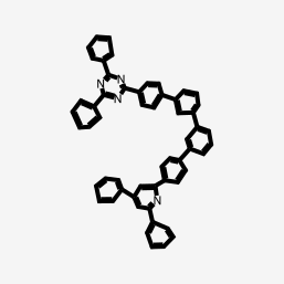 c1ccc(-c2cc(-c3ccccc3)nc(-c3ccc(-c4cccc(-c5cccc(-c6ccc(-c7nc(-c8ccccc8)nc(-c8ccccc8)n7)cc6)c5)c4)cc3)c2)cc1